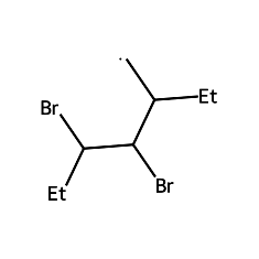 [CH2]C(CC)C(Br)C(Br)CC